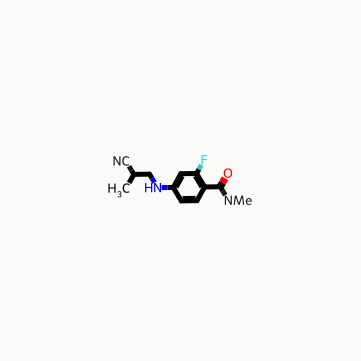 CNC(=O)c1ccc(NCC(C)C#N)cc1F